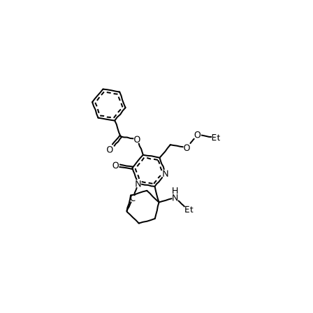 CCNC12CCC(CC1)Cn1c2nc(COOCC)c(OC(=O)c2ccccc2)c1=O